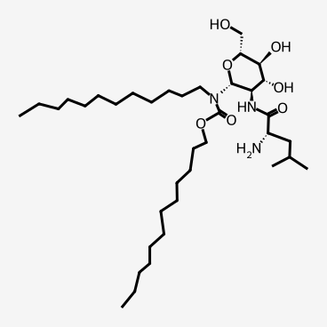 CCCCCCCCCCCCOC(=O)N(CCCCCCCCCCCC)[C@@H]1O[C@H](CO)[C@@H](O)[C@H](O)[C@H]1NC(=O)[C@@H](N)CC(C)C